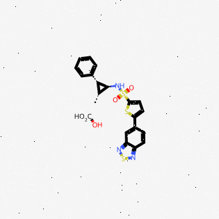 C[C@H]1[C@H](NS(=O)(=O)c2ccc(-c3ccc4nsnc4c3)s2)[C@H]1c1ccccc1.O=C(O)O